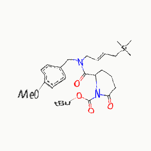 COc1ccc(CN(CC=CC[Si](C)(C)C)C(=O)C2CCCC(=O)N2C(=O)OC(C)(C)C)cc1